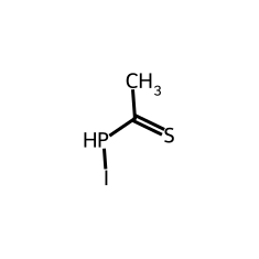 CC(=S)PI